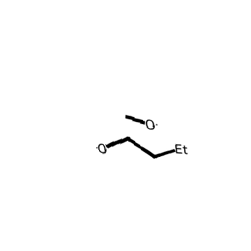 CCCC[O].C[O]